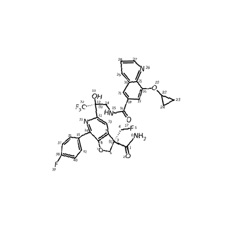 NC(=O)[C@@]1(CF)COc2c1cc([C@@](O)(CNC(=O)c1cc(OC3CC3)c3ncccc3c1)C(F)(F)F)nc2-c1ccc(F)cc1